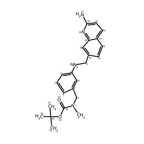 CN(Cc1cccc(NCc2ccc3ccc(N)nc3c2)c1)C(=O)OC(C)(C)C